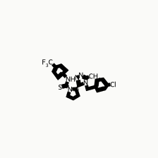 Cc1nnc([C@H]2CCCN2C(=S)Nc2ccc(C(F)(F)F)cc2)n1Cc1ccc(Cl)cc1